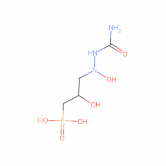 NC(=O)NN(O)CC(O)CP(=O)(O)O